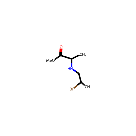 COC(=O)C(C)NCC(Br)C#N